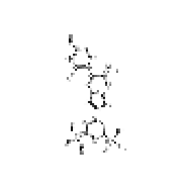 NC(=O)C(=Cn1cnc(-c2cc(C(F)(F)F)cc(C(F)(F)F)c2)n1)c1ccc(F)nc1F